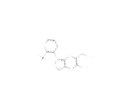 OCc1nc2c(cnn2-c2cccnc2C(F)(F)F)nc1O